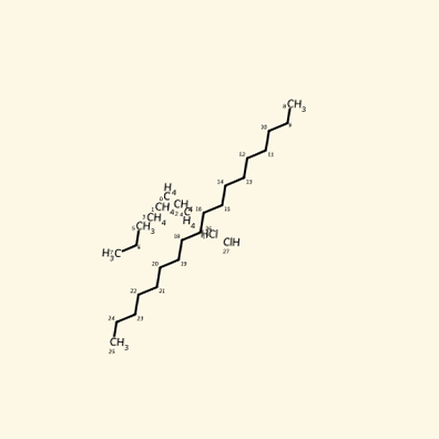 C.C.C.C.C.CCC.CCCCCCCCCCCCCCCCCC.Cl.Cl